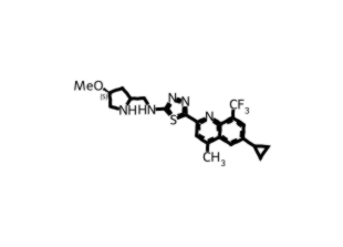 CO[C@@H]1CNC(CNc2nnc(-c3cc(C)c4cc(C5CC5)cc(C(F)(F)F)c4n3)s2)C1